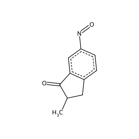 CC1Cc2ccc(N=O)cc2C1=O